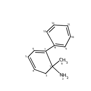 CC1(N)CC=CC=C1c1ccccc1